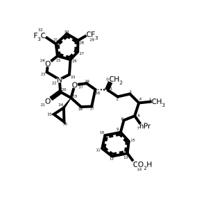 C=C(CCC(C)C(CCC)Cc1cccc(C(=O)O)c1)[C@@H]1CC[C@@](C(=O)N2COc3c(cc(C(F)(F)F)cc3C(F)(F)F)C2)(C2CC2)OC1